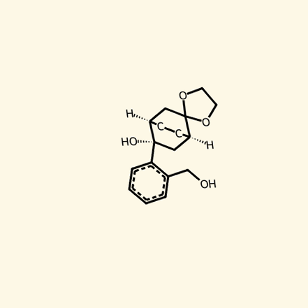 OCc1ccccc1[C@]1(O)C[C@H]2CC[C@@H]1CC21OCCO1